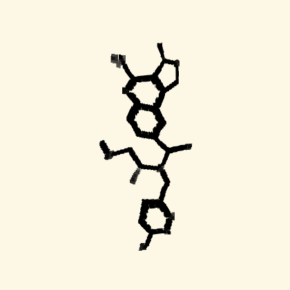 COC[C@@H](C)N(Cc1ccc(Br)nn1)C(=O)c1ccc2nc(N)c3c(c2c1)CO[C@@H]3C